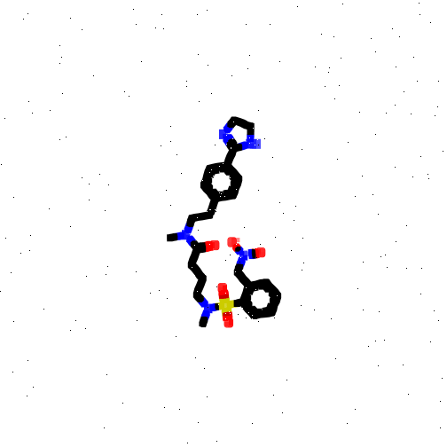 CN(CCc1ccc(C2=NCCN2)cc1)C(=O)CCCN(C)S(=O)(=O)c1ccccc1C[N+](=O)[O-]